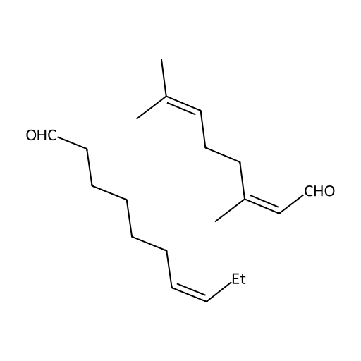 CC(C)=CCCC(C)=CC=O.CC/C=C\CCCCCC=O